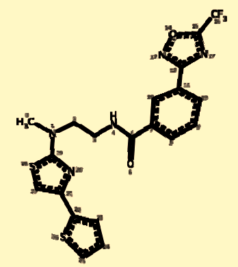 CN(CCNC(=O)c1cccc(-c2noc(C(F)(F)F)n2)c1)c1nc(-c2cccs2)cs1